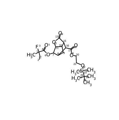 CC(F)(F)C(=O)OC1C2CC3C1OC(=O)C3C2C(=O)OCCO[Si](C)(C)C(C)(C)C